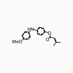 COc1ccc(Nc2ccc(OC(=O)C=C(C)C)cc2)cc1